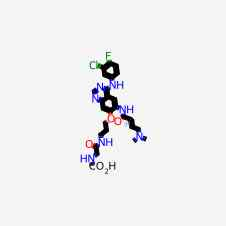 CN(C)C/C=C/C(=O)Nc1cc2c(Nc3ccc(F)c(Cl)c3)ncnc2cc1OCCCNC(=O)CNC(=O)O